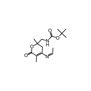 C/C=N\C1=C(C)C(=O)OC(C)(CNC(=O)OC(C)(C)C)C1